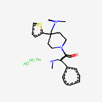 CNC(C(=O)N1CCC(c2cccs2)(N(C)C)CC1)c1ccccc1.Cl.Cl.Cl